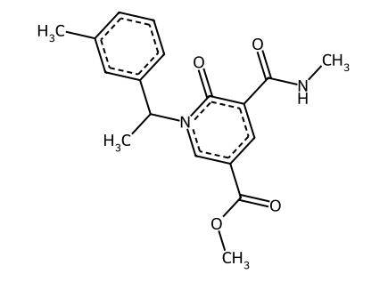 CNC(=O)c1cc(C(=O)OC)cn(C(C)c2cccc(C)c2)c1=O